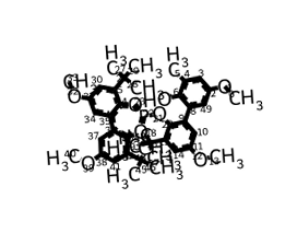 COc1cc(C)c(O)c(-c2cc(OC)cc(C(C)(C)C)c2Op2oc3c(C(C)(C)C)cc(OC)cc3c3cc(OC)cc(C(C)(C)C)c3o2)c1